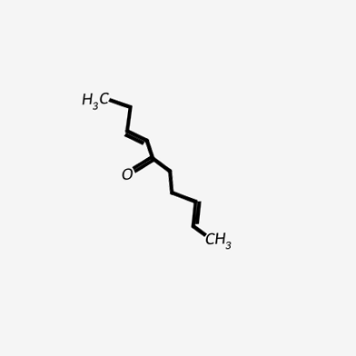 C/C=C/CCC(=O)/C=C/CC